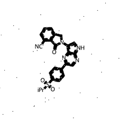 CC(C)S(=O)(=O)c1ccc(-c2cnc3[nH]cc(N4Cc5cccc(C#N)c5C4=O)c3n2)cc1